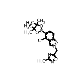 Cc1noc(Cn2cc3c(Cl)c(B4OC(C)(C)C(C)(C)O4)ccc3n2)n1